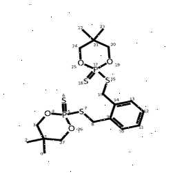 CC1(C)COP(=S)(SCc2ccccc2CSP2(=S)OCC(C)(C)CO2)OC1